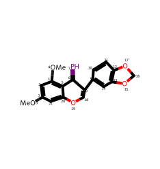 COc1cc(OC)c2c(=P)c(-c3ccc4c(c3)OCO4)coc2c1